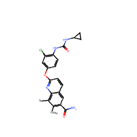 [2H]c1c(OC)c(C(N)=O)cc2ccc(Oc3ccc(NC(=O)NC4CC4)c(Cl)c3)nc12